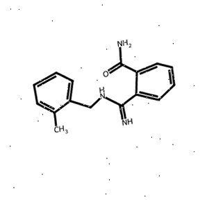 Cc1ccccc1CNC(=N)c1ccccc1C(N)=O